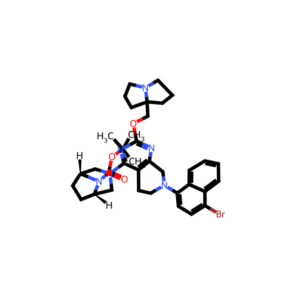 CC(C)(C)OC(=O)N1[C@@H]2CC[C@H]1CN(c1nc(OCC34CCCN3CCC4)nc3c1CCN(c1ccc(Br)c4ccccc14)C3)C2